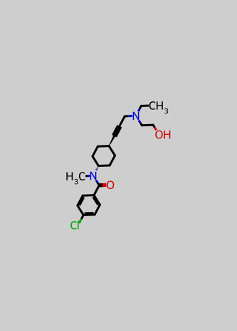 CCN(CC#C[C@H]1CC[C@H](N(C)C(=O)c2ccc(Cl)cc2)CC1)CCO